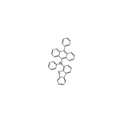 c1ccc(-c2c3ccccc3c(N(c3ccccc3)c3cccc4c3sc3ccccc34)c3ccccc23)cc1